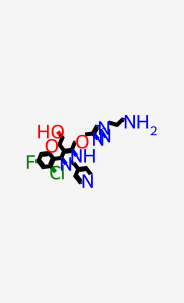 NCCCn1cc(COCC2=C(C(=O)CO)C(c3ccc(F)cc3Cl)N=C(c3ccncc3)N2)nn1